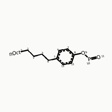 CCCCCCCCCCCCc1ccc(OP=O)cc1